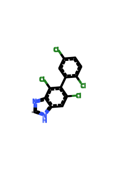 Clc1ccc(Cl)c(-c2c(Cl)cc3[nH][c]nc3c2Cl)c1